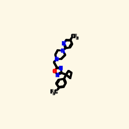 FC(F)(F)c1ccc(C2(c3noc(CN4CCN(c5ccc(C(F)(F)F)cn5)CC4)n3)CCC2)cc1